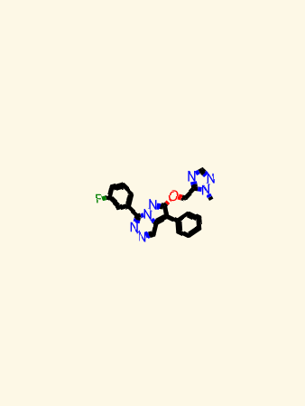 Cn1ncnc1COc1nn2c(-c3cccc(F)c3)nncc2c1-c1ccccc1